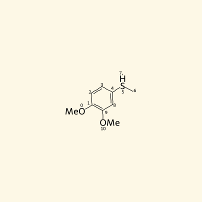 COc1ccc([SH](C)C)cc1OC